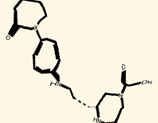 O=C(O)N1CCN[C@H](CCNc2ccc(N3CCCCC3=O)cc2)C1